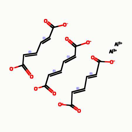 O=C([O-])/C=C/C=C/C(=O)[O-].O=C([O-])/C=C/C=C/C(=O)[O-].O=C([O-])/C=C/C=C/C(=O)[O-].[Al+3].[Al+3]